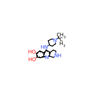 CC(C)N1CCC(Nc2c3c(nc4cc(O)c(O)cc24)CNCC3)CC1